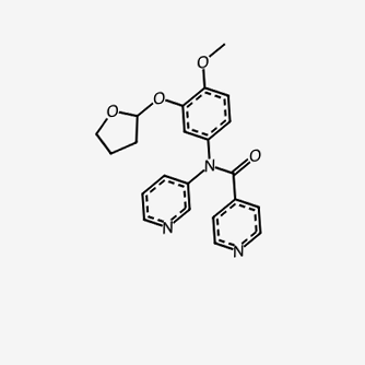 COc1ccc(N(C(=O)c2ccncc2)c2cccnc2)cc1OC1CCCO1